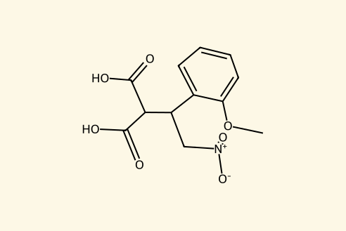 COc1ccccc1C(C[N+](=O)[O-])C(C(=O)O)C(=O)O